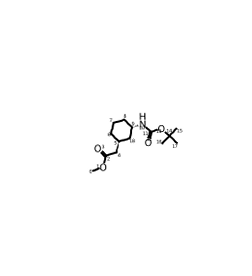 COC(=O)C[C@H]1CCC[C@H](NC(=O)OC(C)(C)C)C1